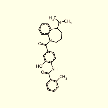 Cc1ccccc1C(=O)Nc1ccc(C(=O)N2CCCC(N(C)C)c3ccccc32)cc1O